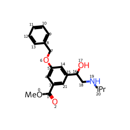 COC(=O)c1cc(OCc2ccccc2)cc(C(O)CNC(C)C)c1